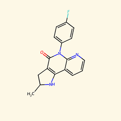 CC1Cc2c(c3cccnc3n(-c3ccc(F)cc3)c2=O)N1